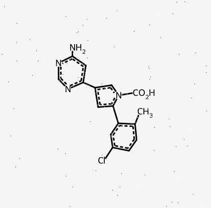 Cc1ccc(Cl)cc1-c1cc(-c2cc(N)ncn2)cn1C(=O)O